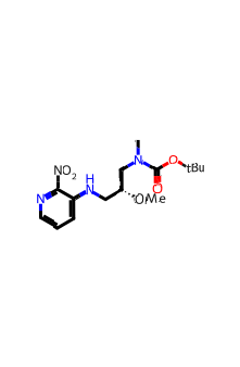 CO[C@H](CNc1cccnc1[N+](=O)[O-])CN(C)C(=O)OC(C)(C)C